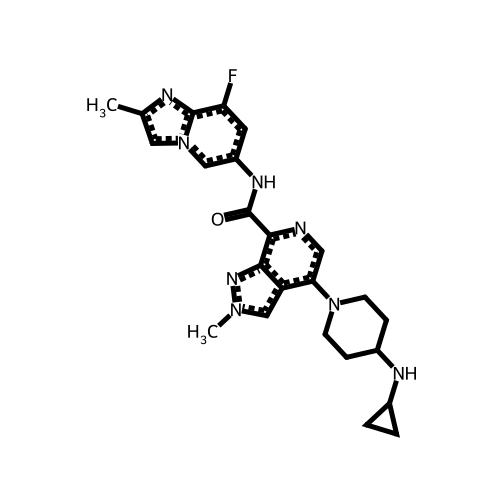 Cc1cn2cc(NC(=O)c3ncc(N4CCC(NC5CC5)CC4)c4cn(C)nc34)cc(F)c2n1